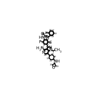 CCn1nc(-c2cc(F)c(NS(=O)(=O)Cc3ccccc3Cl)cc2F)c2c(N)ncc(C3CCC(NC4COC4)CC3)c21